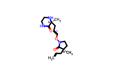 C=CC[C@]1(C)CCN(O/C=C/C[C@]2(C)NCCNC2=O)C1=O